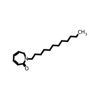 CCCCCCCCCCCCN1CC=CC=CC1=O